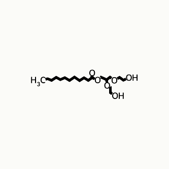 CCCCCCCCCCCC(=O)OCC(COCCO)OCCO